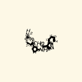 C[C@@]1(c2cccc(NC(=O)c3cnn4ccccc34)c2)CCSC(N)=N1